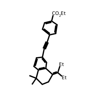 CCOC(=O)c1ccc(C#Cc2ccc3c(c2)C(=C(CC)CC)CCC3(C)C)cc1